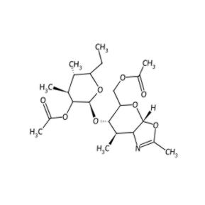 CCC1O[C@@H](O[C@@H]2C(COC(C)=O)O[C@@H]3OC(C)=NC3[C@H]2C)C(OC(C)=O)[C@@H](C)[C@@H]1C